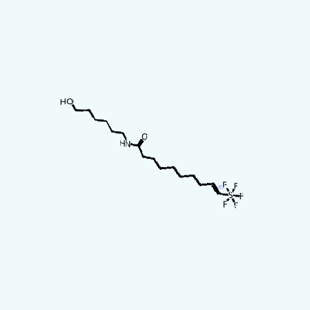 O=C(CCCCCCC/C=C/S(F)(F)(F)(F)F)NCCCCCCO